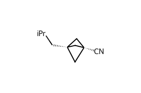 CC(C)C[C@]12C[C@](C#N)(C1)C2